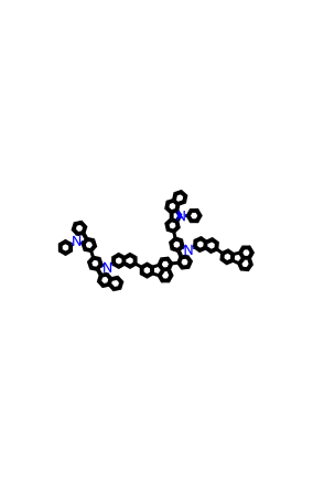 c1ccc(-n2c3ccccc3c3ccc(-c4ccc5c6ccc7ccccc7c6n(-c6ccc7ccc(-c8ccc9c(c8)-c8ccc(-c%10cccc%11c%10c%10ccc(-c%12ccc%13c%14ccc%15ccccc%15c%14n(-c%14ccccc%14)c%13c%12)cc%10n%11-c%10ccc%11ccc(-c%12ccc%13c(c%12)-c%12cccc%14cccc-%13c%12%14)cc%11c%10)c%10cccc-9c8%10)cc7c6)c5c4)cc32)cc1